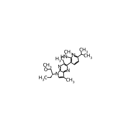 CC[C@@H](COC)n1cc(C)c2nc(-c3ccc(C(C)C)nc3NC)c(C)nc21